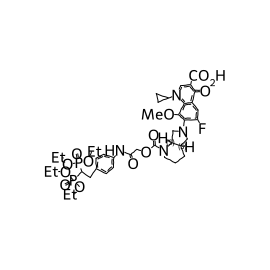 CCOP(=O)(OCC)C(Cc1ccc(NC(=O)COC(=O)N2CCC[C@H]3CN(c4c(F)cc5c(=O)c(C(=O)O)cn(C6CC6)c5c4OC)C[C@H]32)cc1)P(=O)(OCC)OCC